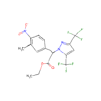 CCOC(=O)C(c1ccc([N+](=O)[O-])c(C)c1)n1nc(C(F)(F)F)cc1C(F)(F)F